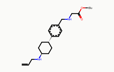 C=CCN[C@H]1CC[C@H](c2ccc(CNCC(=O)OC(C)(C)C)cc2)CC1